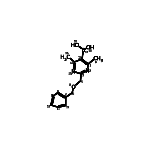 Cc1nc(COCc2ccccc2)nc(C)c1B(O)O